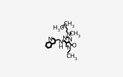 CCCN1Cc2c(NCc3cnc4ccccc4c3)nc(N(C)CCN(C)C)nc2C1=O